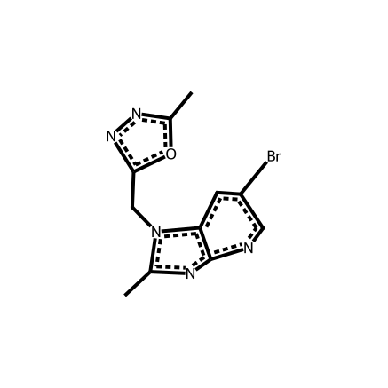 Cc1nnc(Cn2c(C)nc3ncc(Br)cc32)o1